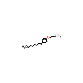 C=CCCCCCCc1ccc(OCCCC)cc1